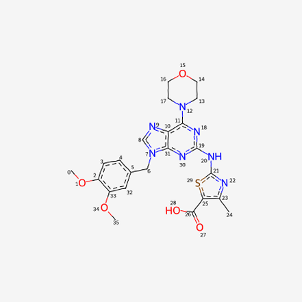 COc1ccc(Cn2cnc3c(N4CCOCC4)nc(Nc4nc(C)c(C(=O)O)s4)nc32)cc1OC